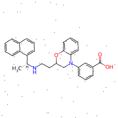 C[C@@H](NCCC1CN(c2cccc(C(=O)O)c2)c2ccccc2O1)c1cccc2ccccc12